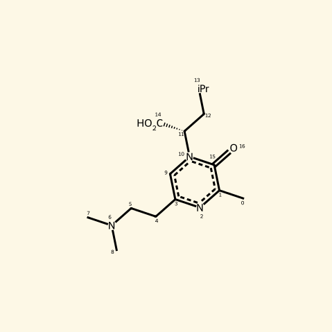 Cc1nc(CCN(C)C)cn([C@@H](CC(C)C)C(=O)O)c1=O